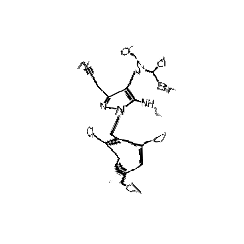 N#Cc1nn(-c2c(Cl)cc(Cl)cc2Cl)c(N)c1[S+]([O-])C(Cl)Br